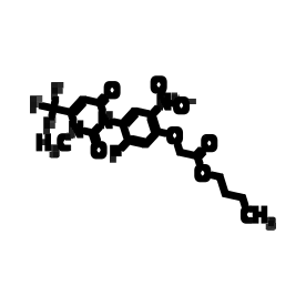 CCCCOC(=O)COc1cc(F)c(-n2c(=O)cc(C(F)(F)F)n(C)c2=O)cc1[N+](=O)[O-]